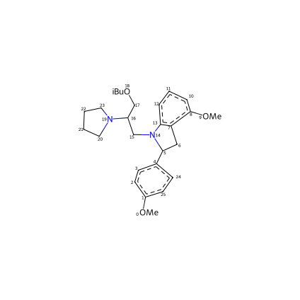 COc1ccc(C2Cc3c(OC)cccc3N2CC(COCC(C)C)N2CCCC2)cc1